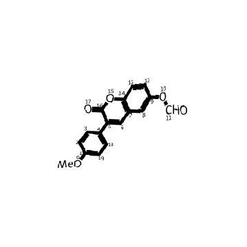 COc1ccc(-c2cc3cc(OC=O)ccc3oc2=O)cc1